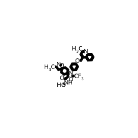 CC1=NOC2(CCC(CC(=O)NO)(N(C(=O)C(F)(F)F)c3ccc(OCc4cc(C)nc5ccccc45)cc3)CC2)C1